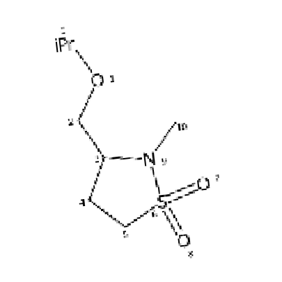 CC(C)OCC1CCS(=O)(=O)N1C